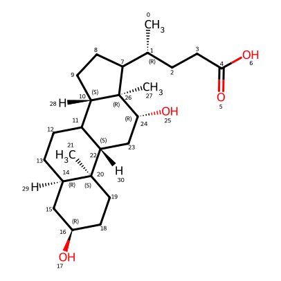 C[C@H](CCC(=O)O)C1CC[C@H]2C3CC[C@@H]4C[C@H](O)CC[C@]4(C)[C@H]3C[C@@H](O)[C@]12C